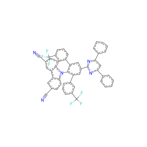 N#Cc1ccc2c(c1)c1cc(C#N)ccc1n2-c1c(-c2cccc(C(F)(F)F)c2)cc(-c2nc(-c3ccccc3)cc(-c3ccccc3)n2)cc1-c1cccc(C(F)(F)F)c1